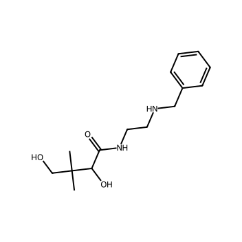 CC(C)(CO)C(O)C(=O)NCCNCc1ccccc1